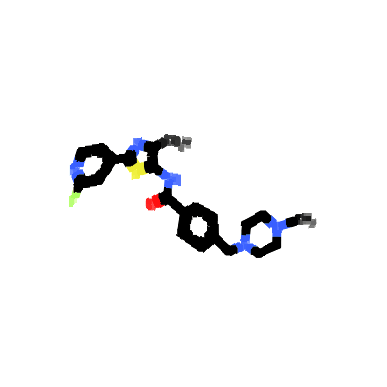 CN1CCN(Cc2ccc(C(=O)Nc3sc(-c4ccnc(F)c4)nc3C(=O)O)cc2)CC1